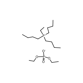 CCCC[P+](CC)(CCCC)CCCC.CCOP(=O)([O-])OCC